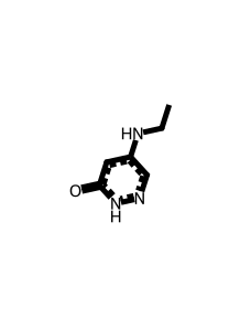 CCNc1cn[nH]c(=O)c1